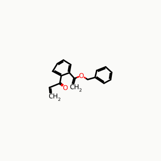 C=CC(=O)c1ccccc1C(=C)OCc1ccccc1